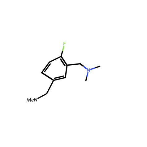 CNCc1ccc(F)c(CN(C)C)c1